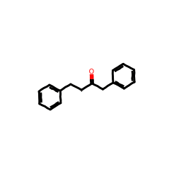 O=C([CH]Cc1ccccc1)Cc1ccccc1